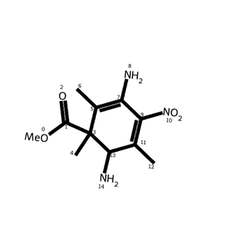 COC(=O)C1(C)C(C)=C(N)C([N+](=O)[O-])=C(C)C1N